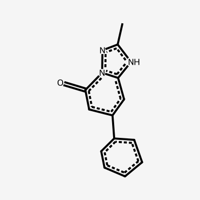 Cc1nn2c(=O)cc(-c3ccccc3)cc2[nH]1